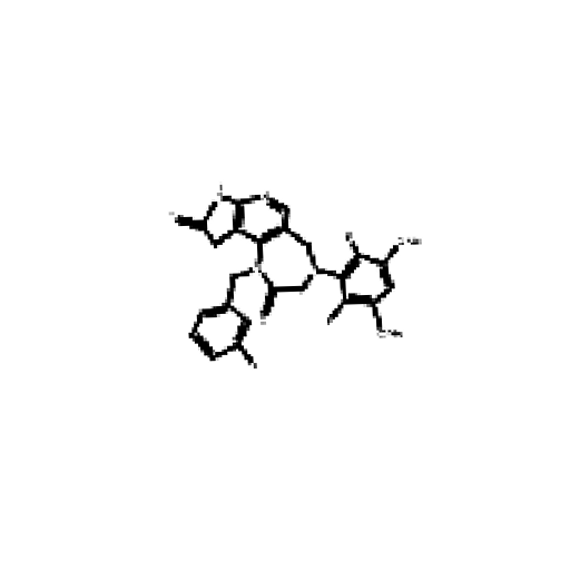 COc1cc(OC)c(F)c(N2CC(=O)N(Cc3cccc(F)c3)c3c(cnc4c3CC(=O)N4)C2)c1F